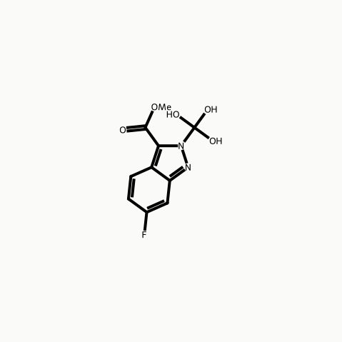 COC(=O)c1c2ccc(F)cc2nn1C(O)(O)O